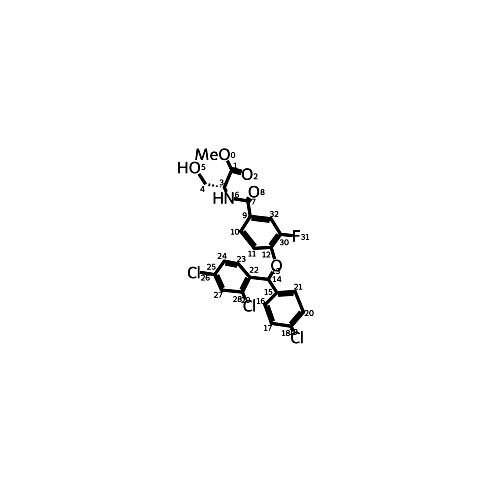 COC(=O)[C@@H](CO)NC(=O)c1ccc(OC(c2ccc(Cl)cc2)c2ccc(Cl)cc2Cl)c(F)c1